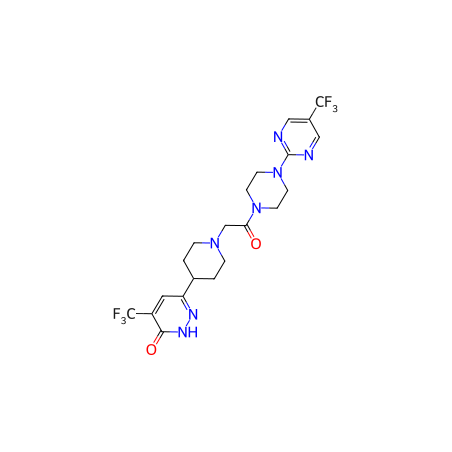 O=C(CN1CCC(c2cc(C(F)(F)F)c(=O)[nH]n2)CC1)N1CCN(c2ncc(C(F)(F)F)cn2)CC1